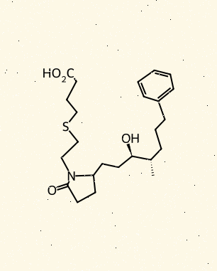 C[C@@H](CCCc1ccccc1)[C@H](O)CCC1CCC(=O)N1CCSCCCC(=O)O